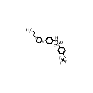 CCCN1CC[C@@H](c2ccc(NS(=O)(=O)c3ccc(SC(F)(F)F)cc3)cc2)C1